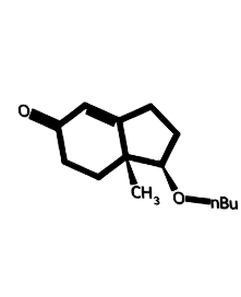 CCCCO[C@@H]1CCC2=CC(=O)CC[C@]21C